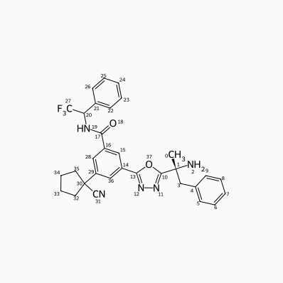 C[C@@](N)(Cc1ccccc1)c1nnc(-c2cc(C(=O)NC(c3ccccc3)C(F)(F)F)cc(C3(C#N)CCCC3)c2)o1